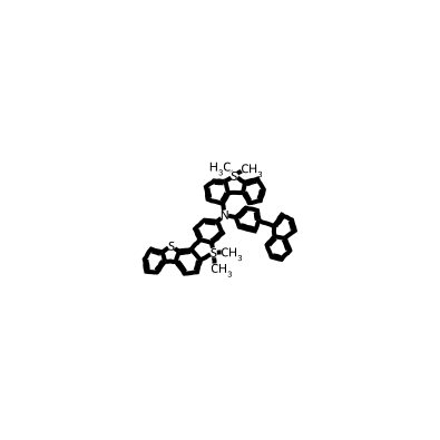 CS1(C)c2ccccc2-c2c(N(c3ccc(-c4cccc5ccccc45)cc3)c3ccc4c(c3)S(C)(C)c3ccc5c(sc6ccccc65)c3-4)cccc21